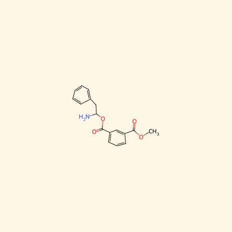 COC(=O)c1cccc(C(=O)OC(N)Cc2ccccc2)c1